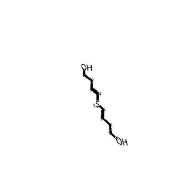 OCCC=CSC=CCCO